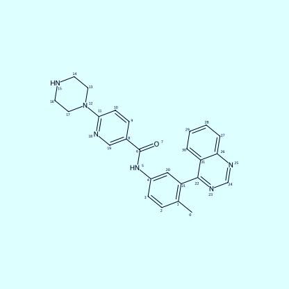 Cc1ccc(NC(=O)c2ccc(N3CCNCC3)nc2)cc1-c1ncnc2ccccc12